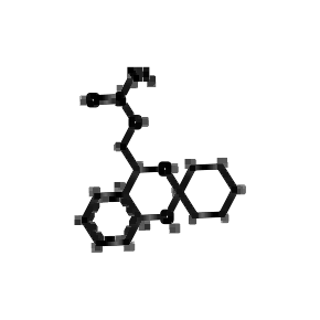 NS(=O)OCC1OC2(CCCCC2)Oc2ccccc21